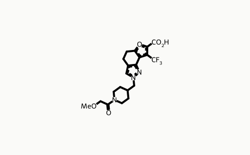 COCC(=O)N1CCC(Cn2cc3c(n2)-c2c(oc(C(=O)O)c2C(F)(F)F)CC3)CC1